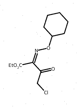 CCOC(=O)/C(=N/OC1CCCCC1)C(=O)CCl